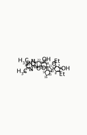 CCOc1cc(O)c(CC)cc1CCC1(C2CCCC2)CC(O)=C(Cc2nc3nc(C)cc(C)n3n2)C(=O)O1